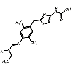 CCN(C)/C=N/c1cc(C)c(Cc2nc(NC(=O)O)cs2)cc1C